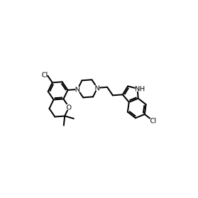 CC1(C)CCc2cc(Cl)cc(N3CCN(CCc4c[nH]c5cc(Cl)ccc45)CC3)c2O1